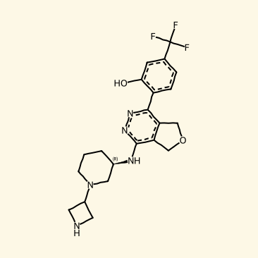 Oc1cc(C(F)(F)F)ccc1-c1nnc(N[C@@H]2CCCN(C3CNC3)C2)c2c1COC2